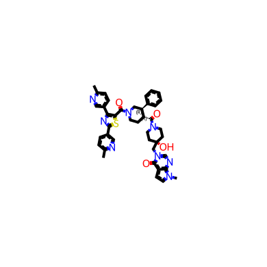 Cc1ccc(-c2nc(-c3ccc(C)nc3)c(C(=O)N3CC[C@@H](C(=O)N4CCC(O)(Cn5cnc6c(ccn6C)c5=O)CC4)[C@H](c4ccccc4)C3)s2)cn1